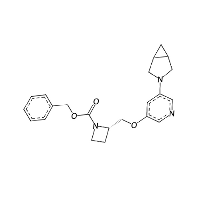 O=C(OCc1ccccc1)N1CC[C@H]1COc1cncc(N2CC3CC3C2)c1